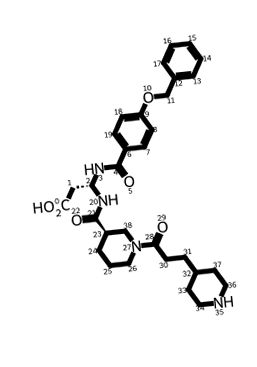 O=C(O)C[C@H](NC(=O)c1ccc(OCc2ccccc2)cc1)NC(=O)[C@@H]1CCCN(C(=O)CCC2CCNCC2)C1